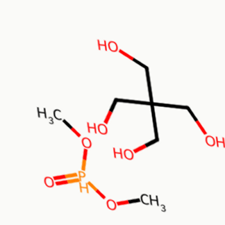 CO[PH](=O)OC.OCC(CO)(CO)CO